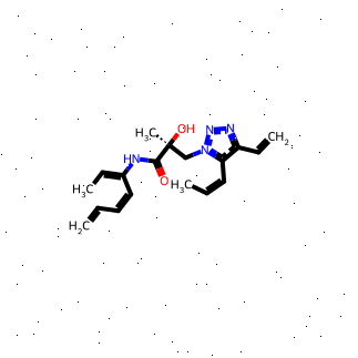 C=C/C=C\C(=C/C)NC(=O)[C@@](C)(O)Cn1nnc(C=C)c1/C=C\C